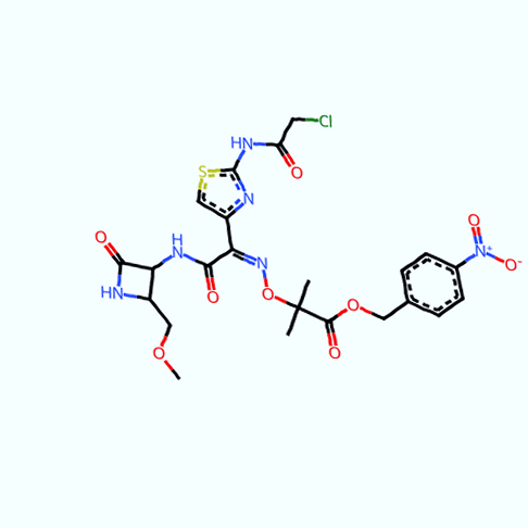 COCC1NC(=O)C1NC(=O)/C(=N\OC(C)(C)C(=O)OCc1ccc([N+](=O)[O-])cc1)c1csc(NC(=O)CCl)n1